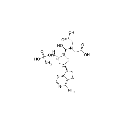 NP(=O)(O)O.Nc1ncnc2c1ncn2[C@H]1C[C@H](O)[C@@H](C(O)N(CC(=O)O)CC(=O)O)O1